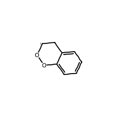 [C]1Cc2ccccc2OO1